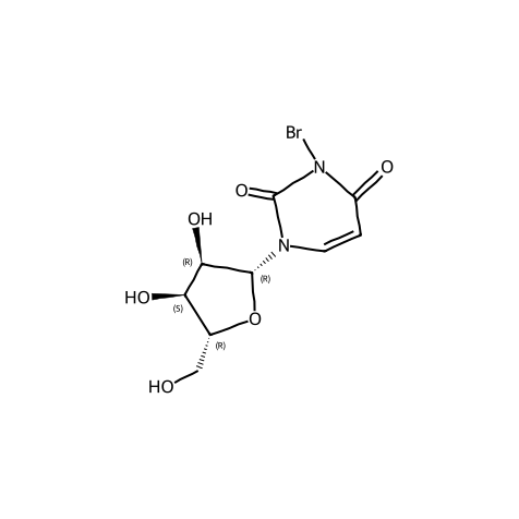 O=c1ccn([C@@H]2O[C@H](CO)[C@@H](O)[C@H]2O)c(=O)n1Br